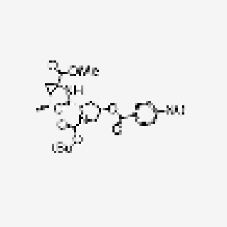 C=C[C@@H]1C[C@]1(NC(=O)[C@@H]1C[C@@H](OC(=O)c2ccc(N=O)cc2)CN1C(=O)OC(C)(C)C)C(=O)OC